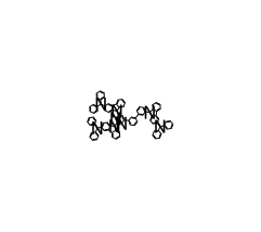 c1ccc(N(c2ccccc2)c2ccc3c(c2)c2ccccc2n3-c2cccc(-c3cccc(-c4cc(-n5c6ccccc6c6cc(N(c7ccccc7)c7ccccc7)ccc65)nc(-n5c6ccccc6c6cc(N(c7ccccc7)c7ccccc7)ccc65)n4)c3)c2)cc1